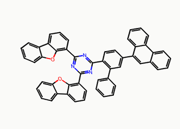 c1ccc(-c2cc(-c3cc4ccccc4c4ccccc34)ccc2-c2nc(-c3cccc4c3oc3ccccc34)nc(-c3cccc4c3oc3ccccc34)n2)cc1